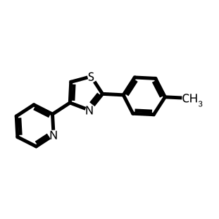 Cc1ccc(-c2nc(-c3ccccn3)cs2)cc1